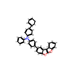 C1=CCCC(c2ccc(N(c3ccccc3)c3ccc(-c4ccc5oc6oc7ccccc7c6c5c4)cc3)cc2)=C1